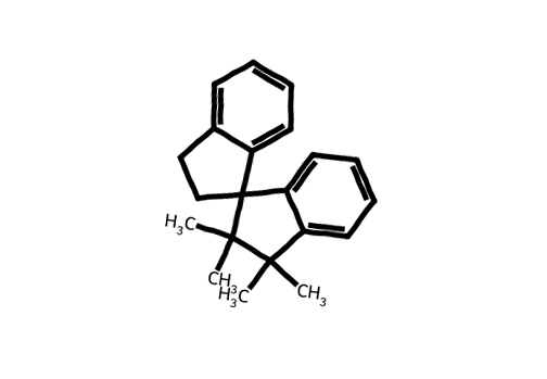 CC1(C)c2ccccc2C2(CCc3ccccc32)C1(C)C